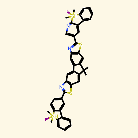 CC1(C)c2cc3sc(-c4ccc5c(c4)-c4ccccc4[SH]5(C)(C)I)nc3cc2-c2cc3nc(-c4cnc5c(c4)-c4ccccc4[SH]5(C)(C)I)sc3cc21